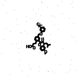 [C-]#[N+]c1cccc(OCc2ccc(CCC(=O)O)c(C(=O)NC(CC(C)C)c3cccc(OC)c3)c2)c1